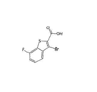 O=C(O)c1sc2c(F)cccc2c1Br